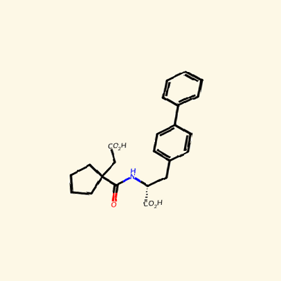 O=C(O)CC1(C(=O)N[C@H](Cc2ccc(-c3ccccc3)cc2)C(=O)O)CCCC1